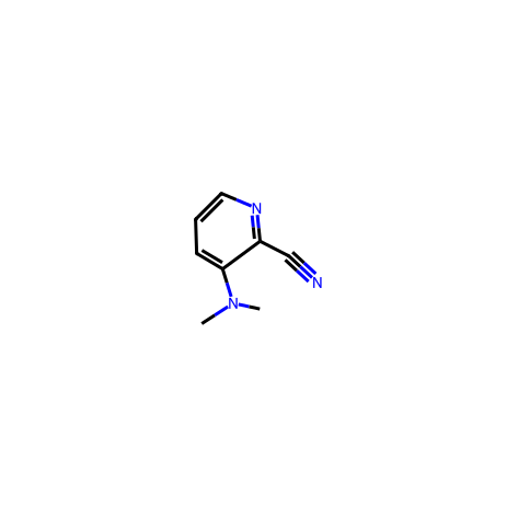 CN(C)c1cccnc1C#N